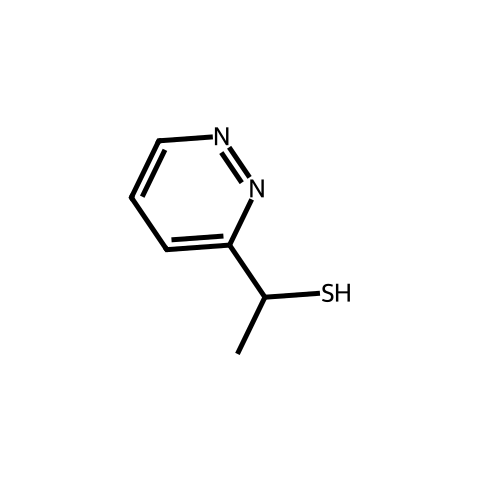 CC(S)c1cccnn1